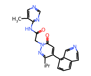 Cc1cncnc1NC(=O)Cn1nc(C(C)C)c(-c2cccc3ccncc23)cc1=O